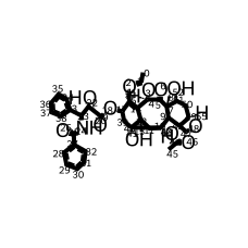 CC(=O)O[C@H]1C(=O)[C@@]2(C)C([C@@H]3C[C@@]4(C)C1=C(C)C(OC(=O)[C@H](O)C(NC(=O)c1ccccc1)c1ccccc1)C[C@@]34O)[C@]1(OC(C)=O)CO[C@@H]1C[C@@H]2O